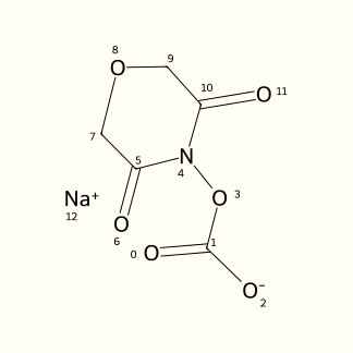 O=C([O-])ON1C(=O)COCC1=O.[Na+]